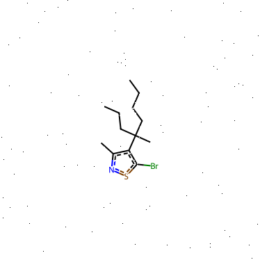 CCCCC(C)(CCC)c1c(C)nsc1Br